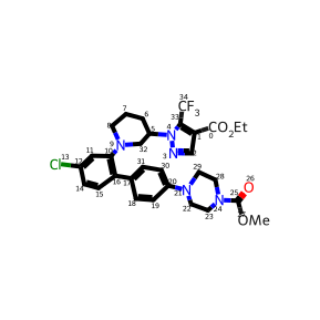 CCOC(=O)c1cnn(C2CCCN(c3cc(Cl)ccc3-c3ccc(N4CCN(C(=O)OC)CC4)cc3)C2)c1C(F)(F)F